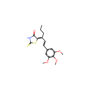 CCCC(C=Cc1cc(OC)c(OC)c(OC)c1)=C1SC(=S)NC1=O